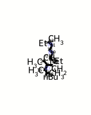 C=C(C)/C(C(=C)N(CC)C/C=C/C=C(/C)CC)=C(\C)C(C)CCCC